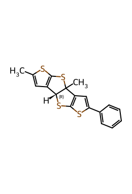 Cc1cc2c(s1)SC1(C)c3cc(-c4ccccc4)sc3S[C@H]21